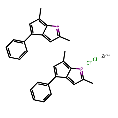 CC1=PC2=C(C)C=C(c3ccccc3)C2=C1.CC1=PC2=C(C)C=C(c3ccccc3)C2=C1.[Cl-].[Cl-].[Zr+2]